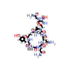 CC[C@H](C)[C@@H]1NC(=O)[C@H](Cc2ccc(O)cc2)NC(=O)CCC(=O)NC[C@@H](C(=O)N(CC(=O)N[C@@H](CO)C(=O)NCC(N)=O)C2CC2)NC(=O)[C@H](CC(N)=O)NC(=O)[C@H](CCC(N)=O)NC1=O